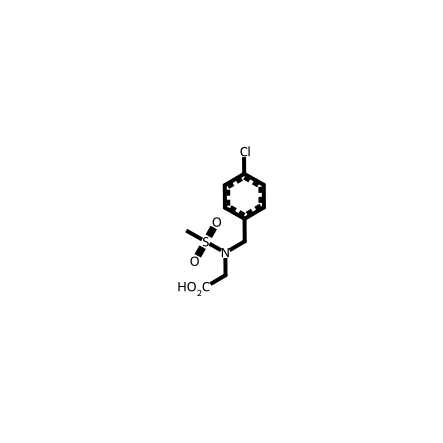 CS(=O)(=O)N(CC(=O)O)Cc1ccc(Cl)cc1